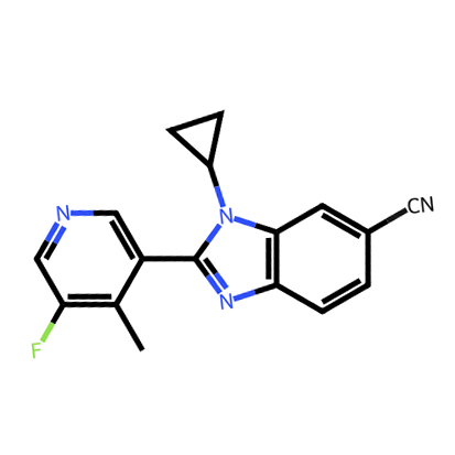 Cc1c(F)cncc1-c1nc2ccc(C#N)cc2n1C1CC1